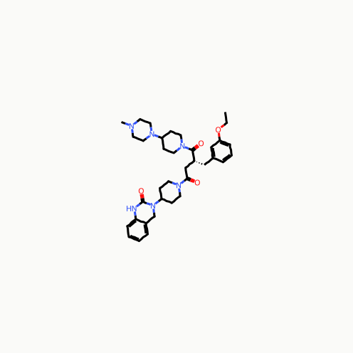 CCOc1cccc(C[C@H](CC(=O)N2CCC(N3Cc4ccccc4NC3=O)CC2)C(=O)N2CCC(N3CCN(C)CC3)CC2)c1